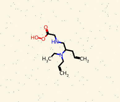 C=CCC(CNCC(=O)OO)N(CC)CC=C